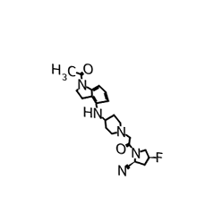 CC(=O)N1CCc2c(NC3CCN(CC(=O)N4C[C@@H](F)C[C@H]4C#N)CC3)cccc21